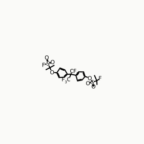 CC(C)(Oc1ccc(C(c2ccc(OS(=O)(=O)C(C)(C)F)cc2)(C(F)(F)F)C(F)(F)F)cc1)S(=O)(=O)F